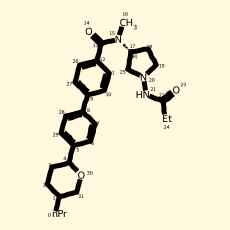 CCCC1CCC(c2ccc(-c3ccc(C(=O)N(C)[C@@H]4CCN(NC(=O)CC)C4)cc3)cc2)OC1